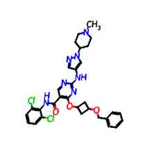 CN1CCC(n2cc(Nc3ncc(C(=O)Nc4c(Cl)cccc4Cl)c(OC4CC(OCc5ccccc5)C4)n3)cn2)CC1